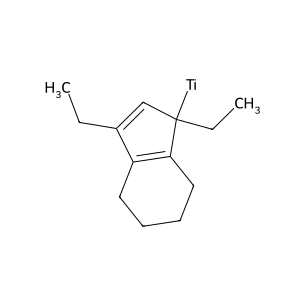 CCC1=C[C]([Ti])(CC)C2=C1CCCC2